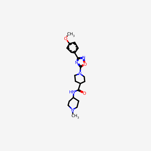 COc1ccc(-c2noc(N3CCC(C(=O)NC4CCN(C)CC4)CC3)n2)cc1